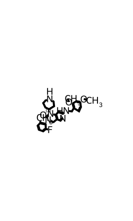 COc1ccc(CNc2cc3c(cn2)CN(c2c(C)cccc2F)C(=O)N3[C@H]2CCCNCC2)c(OC)c1